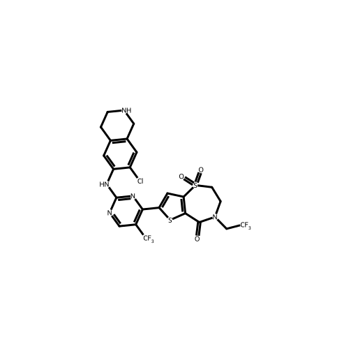 O=C1c2sc(-c3nc(Nc4cc5c(cc4Cl)CNCC5)ncc3C(F)(F)F)cc2S(=O)(=O)CCN1CC(F)(F)F